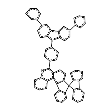 c1ccc(-c2ccc3c(c2)c2cc(-c4ccccc4)ccc2n3-c2ccc(-c3nc4ccccc4c4c5c(ccc34)C3(c4ccccc4-c4ccccc43)c3ccccc3-5)cc2)cc1